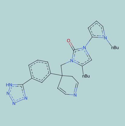 CCCCc1cn(-c2cccn2CCCC)c(=O)n1CC1(c2cccc(-c3nnn[nH]3)c2)C=CN=CC1